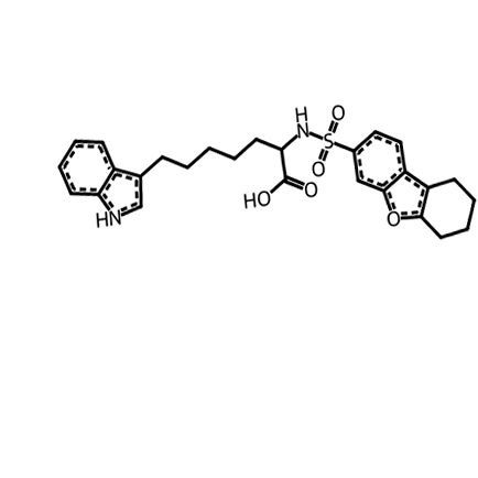 O=C(O)C(CCCCCc1c[nH]c2ccccc12)NS(=O)(=O)c1ccc2c3c(oc2c1)CCCC3